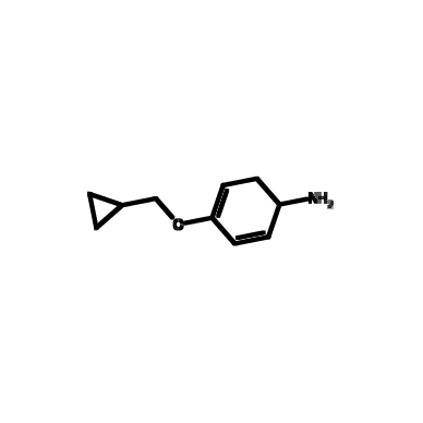 NC1C=CC(OCC2CC2)=CC1